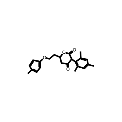 Cc1ccc(OCCC2CC(=O)C(c3c(C)cc(C)cc3C)C(=O)O2)cc1